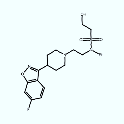 CCN(CCN1CCC(c2noc3cc(F)ccc23)CC1)S(=O)(=O)CCO